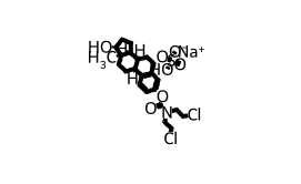 C[C@]12CC[C@@H]3c4ccc(OC(=O)N(CCCl)CCCl)cc4CC[C@H]3[C@@H]1CC[C@@H]2O.O=S(=O)([O-])O.[Na+]